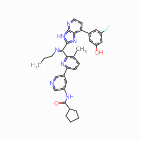 CCC/N=C(/c1nc2c(-c3cc(O)cc(F)c3)ccnc2[nH]1)c1nc(-c2cncc(NC(=O)C3CCCC3)c2)ccc1C